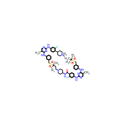 Cc1cnc(Nc2ccc(C(=O)NC3CCN(CCC(C)(C)S(=O)(=O)Cc4cccc(Nc5nc(Nc6ccc(C7CCN(C)CC7)c(F)c6)ncc5C)c4)CC3)c(F)c2)nc1Nc1cccc(CS(=O)(=O)C(C)(C)C)c1